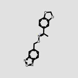 C/C(=N\OCc1ccc2nonc2c1)c1ccc2c(c1)OCO2